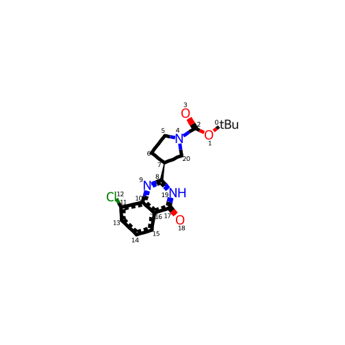 CC(C)(C)OC(=O)N1CC[C@H](c2nc3c(Cl)cccc3c(=O)[nH]2)C1